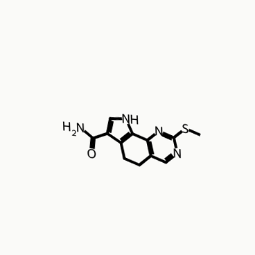 CSc1ncc2c(n1)-c1[nH]cc(C(N)=O)c1CC2